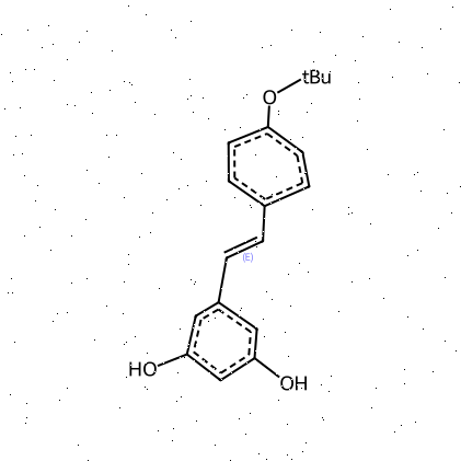 CC(C)(C)Oc1ccc(/C=C/c2cc(O)cc(O)c2)cc1